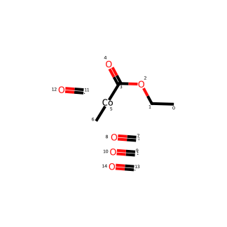 CCO[C](=O)[Co][CH3].[C]=O.[C]=O.[C]=O.[C]=O